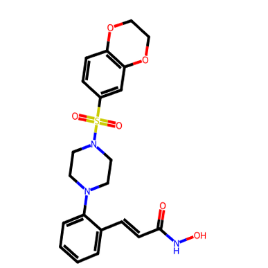 O=C(C=Cc1ccccc1N1CCN(S(=O)(=O)c2ccc3c(c2)OCCO3)CC1)NO